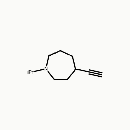 C#CC1CCCN(C(C)C)CC1